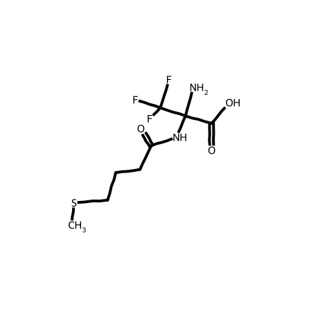 CSCCCC(=O)NC(N)(C(=O)O)C(F)(F)F